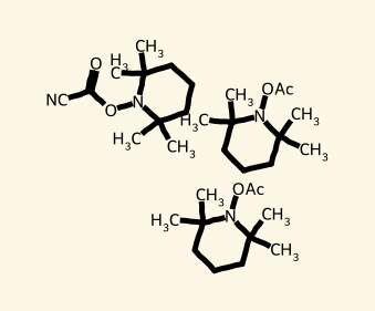 CC(=O)ON1C(C)(C)CCCC1(C)C.CC(=O)ON1C(C)(C)CCCC1(C)C.CC1(C)CCCC(C)(C)N1OC(=O)C#N